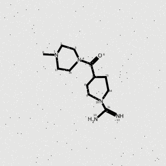 CN1CCN(C(=O)C2CCN(C(=N)N)CC2)CC1